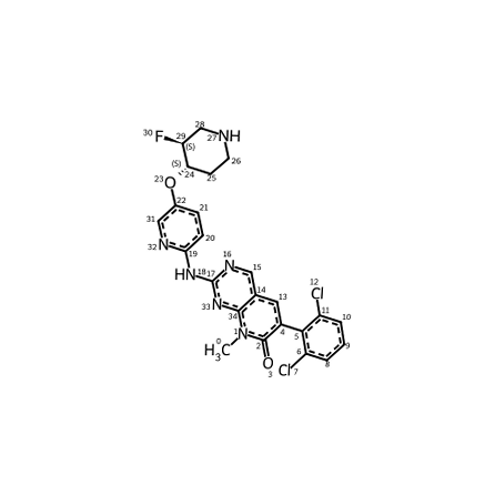 Cn1c(=O)c(-c2c(Cl)cccc2Cl)cc2cnc(Nc3ccc(O[C@H]4CCNC[C@@H]4F)cn3)nc21